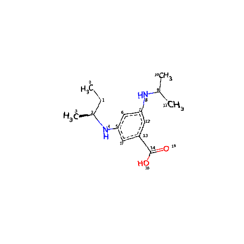 CC[C@H](C)Nc1cc(NC(C)C)cc(C(=O)O)c1